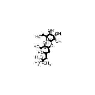 CC(C)(C)CC(O)CC(O[C@@H]1OC(CO)[C@H](O)[C@H](O)C1O)C(O)CO